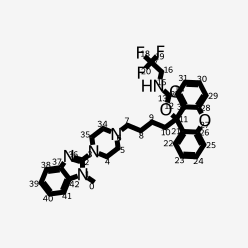 Cn1c(N2CCN(CCCCC3(OC(=O)NCC(F)(F)F)c4ccccc4Oc4ccccc43)CC2)nc2ccccc21